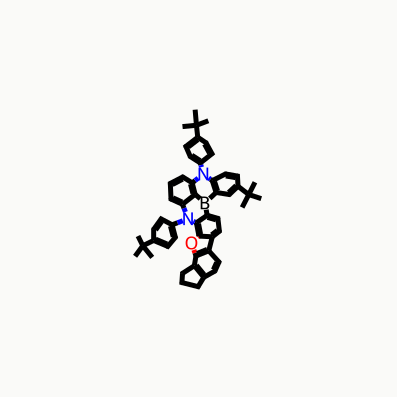 CC(C)(C)c1ccc(N2c3ccc(C(C)(C)C)cc3B3c4ccc5c(oc6c7c(ccc65)CCC7)c4N(c4ccc(C(C)(C)C)cc4)c4cccc2c43)cc1